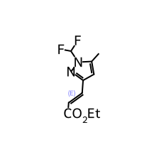 CCOC(=O)/C=C/c1cc(C)n(C(F)F)n1